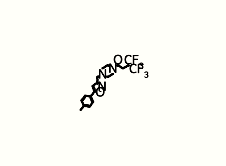 Cc1ccc(-c2cc(CN3CCN(C(=O)CC(C(F)(F)F)C(F)(F)F)CC3)no2)cc1